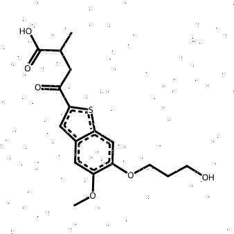 COc1cc2cc(C(=O)CC(C)C(=O)O)sc2cc1OCCCO